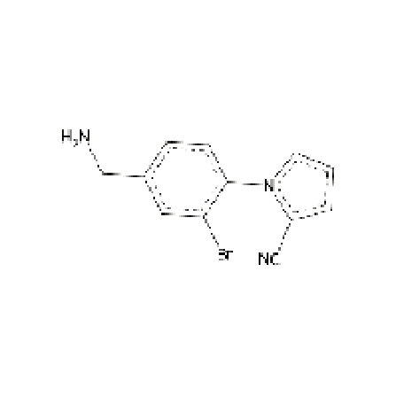 N#Cc1cccn1-c1ccc(CN)cc1Br